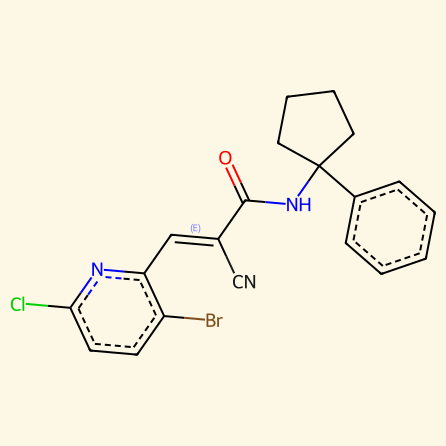 N#C/C(=C\c1nc(Cl)ccc1Br)C(=O)NC1(c2ccccc2)CCCC1